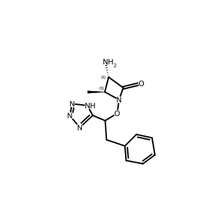 C[C@H]1[C@H](N)C(=O)N1OC(Cc1ccccc1)c1nnn[nH]1